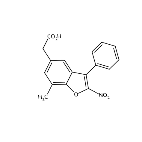 Cc1cc(CC(=O)O)cc2c(-c3ccccc3)c([N+](=O)[O-])oc12